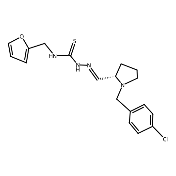 S=C(NCc1ccco1)NN=C[C@@H]1CCCN1Cc1ccc(Cl)cc1